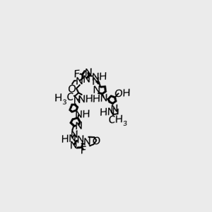 CC1CCN(c2cc(O)cc(Nc3ccc(/C=N/Nc4ncc(F)c(N5CCOC(C6CNN(c7cccc(Nc8ccc(/C=N/Nc9ncc(F)c(N%10CCOCC%10)n9)nc8)c7)C6C)C5)n4)nc3)c2)N1